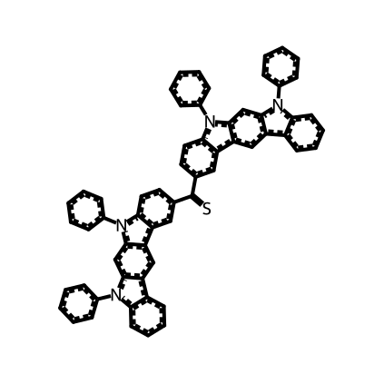 S=C(c1ccc2c(c1)c1cc3c4ccccc4n(-c4ccccc4)c3cc1n2-c1ccccc1)c1ccc2c(c1)c1cc3c4ccccc4n(-c4ccccc4)c3cc1n2-c1ccccc1